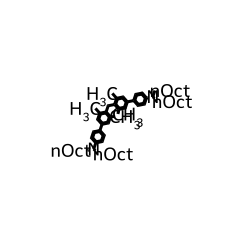 CCCCCCCCN(CCCCCCCC)c1ccc(-c2cc(C)c(Cc3c(C)cc(-c4ccc(N(CCCCCCCC)CCCCCCCC)cc4)cc3C)c(C)c2)cc1